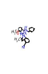 COc1cccc2c(NCc3ccccc3)nc(-n3c(C)cc4c(C#N)cccc43)nc12